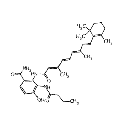 CCCC(=O)Nc1c(O)ccc(C(N)=O)c1NC(=O)/C=C(C)/C=C/C=C(C)/C=C/C1=C(C)CCCC1(C)C